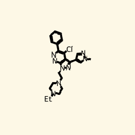 CCN1CCN(CCn2nc(-c3cnn(C)c3)c3c(Cl)c(-c4ccccc4)nnc32)CC1